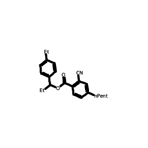 CCCCCc1ccc(C(=O)OC(CC)c2ccc(CC)cc2)c(C#N)c1